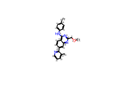 CCOCc1nc(Nc2ccc(C(C)C)cc2)c2ccc(-c3ncccc3C)cc2n1